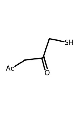 CC(=O)CC(=O)CS